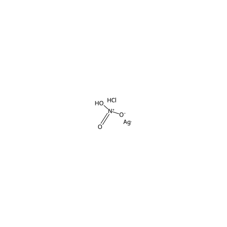 Cl.O=[N+]([O-])O.[Ag]